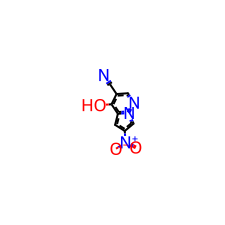 N#Cc1cnn2cc([N+](=O)[O-])cc2c1O